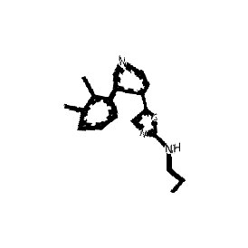 CCCNc1ncc(-c2ccncc2-c2cccc(C)c2C)s1